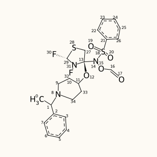 CC(c1ccccc1)N1CCC(O[C@]2(N(OC=O)S(=O)(=O)c3ccccc3)CS[C@@H](F)N2F)CC1